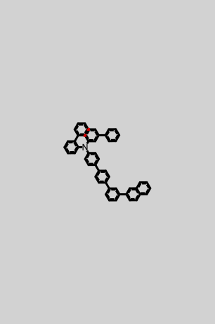 c1ccc(-c2cccc(N(c3ccc(-c4ccc(-c5cccc(-c6ccc7ccccc7c6)c5)cc4)cc3)c3ccccc3-c3ccccc3)c2)cc1